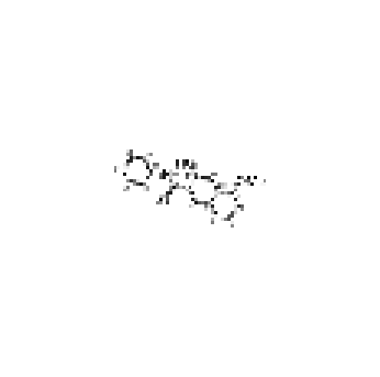 COc1cccc2cc(C(=O)Nc3ccccc3)c(O)cc12